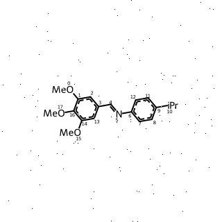 COc1cc(/C=N/c2ccc(C(C)C)cc2)cc(OC)c1OC